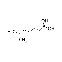 CC(C)CCCCB(O)O